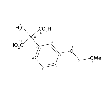 COCOc1cccc(C(C)(C(=O)O)C(=O)O)c1